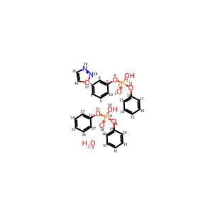 O.O=P(O)(Oc1ccccc1)Oc1ccccc1.O=P(O)(Oc1ccccc1)Oc1ccccc1.c1conn1